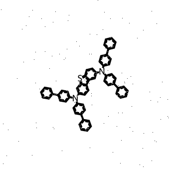 c1ccc(-c2ccc(N(c3ccc(-c4ccccc4)cc3)c3ccc4c(c3)sc3ccc(N(c5ccc(-c6ccccc6)cc5)c5ccc(-c6ccccc6)cc5)cc34)cc2)cc1